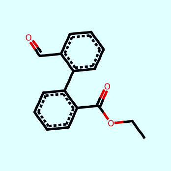 CCOC(=O)c1ccccc1-c1ccccc1C=O